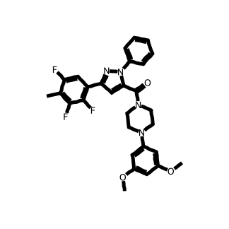 COc1cc(OC)cc(N2CCN(C(=O)c3cc(-c4cc(F)c(C)c(F)c4F)nn3-c3ccccc3)CC2)c1